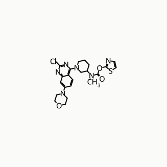 CN(C(=O)Oc1nccs1)C1CCCN(c2nc(Cl)nc3cc(N4CCOCC4)ccc23)C1